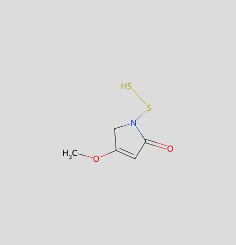 COC1=CC(=O)N(SS)C1